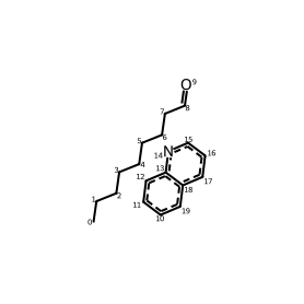 CCCCCCCCC=O.c1ccc2ncccc2c1